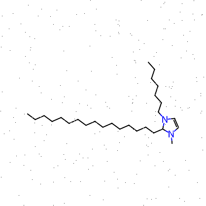 CCCCCCCCCCCCCCCCC1N(C)C=CN1CCCCCCC